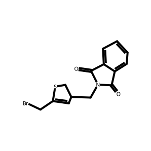 O=C1c2ccccc2C(=O)N1CC1C=C(CBr)SC1